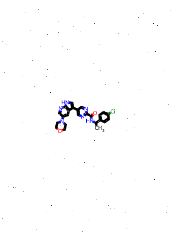 CC(NC(=O)c1ncc(-c2c[nH]c3ncc(N4CCOCC4)cc23)cn1)c1ccc(Cl)cc1